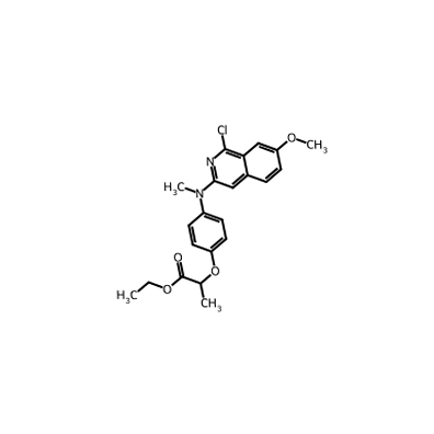 CCOC(=O)C(C)Oc1ccc(N(C)c2cc3ccc(OC)cc3c(Cl)n2)cc1